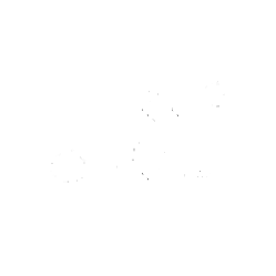 CC(=O)OCC(NC(=O)OCc1ccccc1)C(C)Cc1noc(Cc2ccsc2)n1